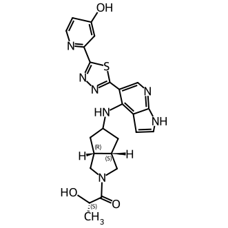 C[C@H](O)C(=O)N1C[C@H]2CC(Nc3c(-c4nnc(-c5cc(O)ccn5)s4)cnc4[nH]ccc34)C[C@H]2C1